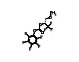 O=C(Oc1c(F)c(F)c(F)c(F)c1F)O[C@H](COP)C(F)(F)F